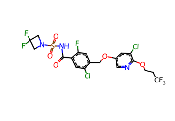 O=C(NS(=O)(=O)N1CC(F)(F)C1)c1cc(Cl)c(COc2cnc(OCCC(F)(F)F)c(Cl)c2)cc1F